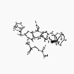 O=C(O)/C=C/C(=O)O.O=C1c2cc(OC3CN4CCC3CC4)ccc2-c2ccc(O[C@@H]3CN4CCC3CC4)cc21